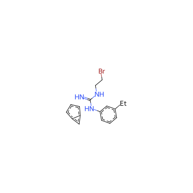 CCc1cccc(NC(=N)NCCBr)c1.c1cc2cc-2c1